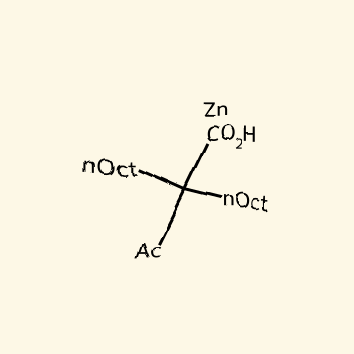 CCCCCCCCC(CCCCCCCC)(C(C)=O)C(=O)O.[Zn]